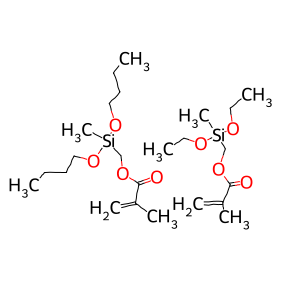 C=C(C)C(=O)OC[Si](C)(OCC)OCC.C=C(C)C(=O)OC[Si](C)(OCCCC)OCCCC